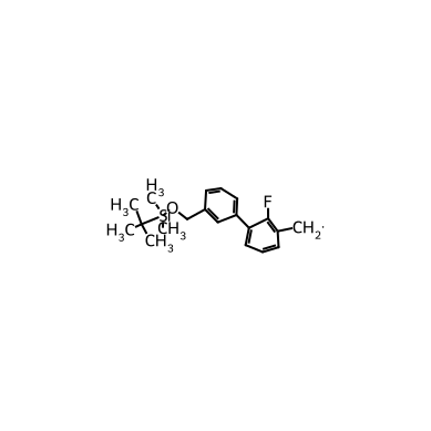 [CH2]c1cccc(-c2cccc(CO[Si](C)(C)C(C)(C)C)c2)c1F